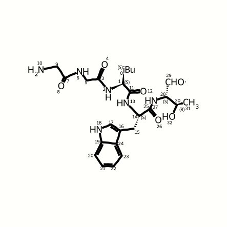 CC[C@H](C)[C@H](NC(=O)CNC(=O)CN)C(=O)N[C@@H](Cc1c[nH]c2ccccc12)C(=O)N[C@H]([C]=O)[C@@H](C)O